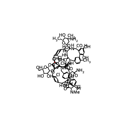 CN[C@H](CC(C)C)C(=O)N[C@H]1C(=O)N[C@@H](CC(N)=O)C(=O)N[C@H]2C(=O)N[C@H]3C(=O)N[C@H](C(=O)N[C@H](C(=O)O)c4cc(O)cc(O)c4-c4cc3ccc4C)[C@H](O[C@H]3C[C@](C)(N)[C@@H](O)[C@H](C)O3)c3ccc(c(Cl)c3)Oc3cc2cc(c3O[C@@H]2O[C@H](CO)[C@@H](O)[C@H](O)[C@H]2O[C@H]2C[C@](C)(NCc3ccc(-c4ccc(Cl)cc4)cc3)[C@@H](O)[C@H](C)O2)Oc2ccc(cc2Cl)[C@H]1O